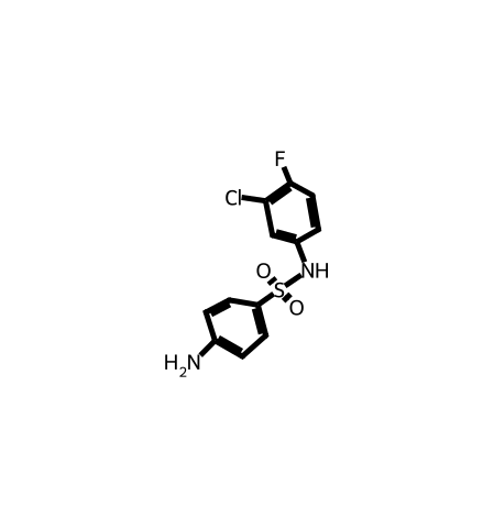 Nc1ccc(S(=O)(=O)Nc2ccc(F)c(Cl)c2)cc1